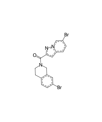 O=C(c1cc2ccc(Br)cn2n1)N1CCc2ccc(Br)cc2C1